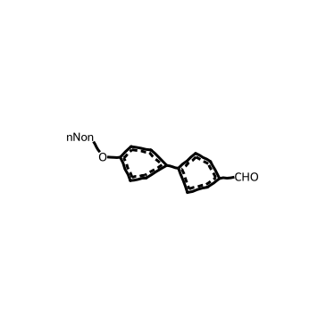 CCCCCCCCCOc1ccc(-c2ccc(C=O)cc2)cc1